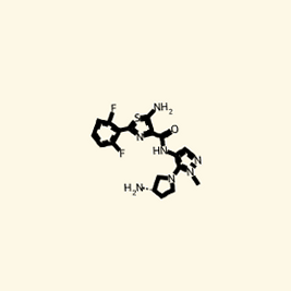 Cn1ncc(NC(=O)c2nc(-c3c(F)cccc3F)sc2N)c1N1CC[C@H](N)C1